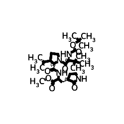 COC(=O)C(C[C@@H]1CCNC1=O)NC(=O)[C@@H]1C(C(C)C)CCN1C(=O)[C@@H](NC(=O)OC(C)(C)C)C(C)(C)C